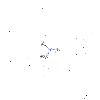 CCCCN(C(C)=O)C(=O)O